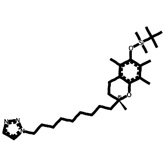 Cc1c(C)c2c(c(C)c1O[Si](C)(C)C(C)(C)C)CC[C@@](C)(CCCCCCCCCn1ccnn1)O2